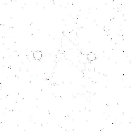 CCC1O[C@H](O[C@@H]2C(OCc3ccccc3)[C@H](OCCCC(=O)OC)OC(CO[C@H]3OC(CO[C@H]4OC(CC)[C@@H](C)[C@H](C)C4OC(C)=O)[C@@H](C)[C@H](C)C3OC(=O)c3ccccc3)[C@H]2C)C(OC(C)=O)[C@@H](C)[C@@H]1C